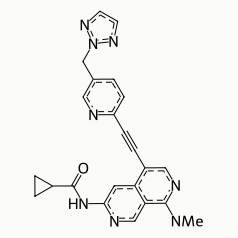 CNc1ncc(C#Cc2ccc(Cn3nccn3)cn2)c2cc(NC(=O)C3CC3)ncc12